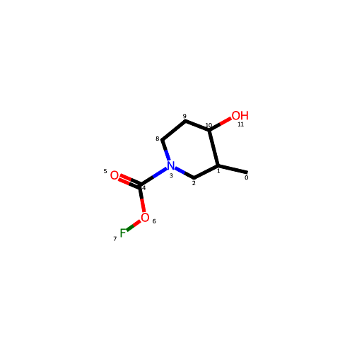 CC1CN(C(=O)OF)CCC1O